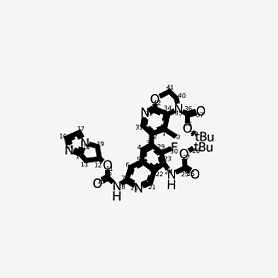 Cc1c(-c2cc3cc(NC(=O)OC4Cc5nccn5C4)ncc3c(NC(=O)OC(C)(C)C)c2F)cnc2c1N(C(=O)OC(C)(C)C)CCO2